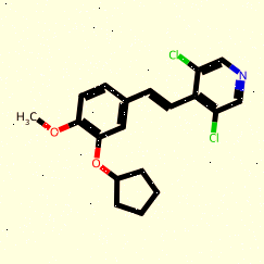 COc1ccc(C=Cc2c(Cl)cncc2Cl)cc1OC1CCCC1